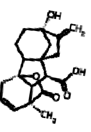 C=C1C[C@]23C[C@@]1(O)CCC2[C@@]12CC=C[C@](C)(C(=O)O1)C2[C@@H]3C(=O)O